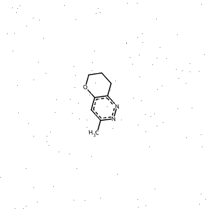 Cc1cc2c(nn1)CCCO2